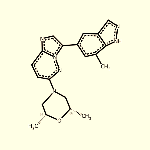 Cc1cc(-c2cnc3ccc(N4C[C@@H](C)O[C@@H](C)C4)nn23)cc2cn[nH]c12